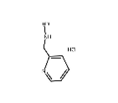 CCCNCc1ccccn1.Cl